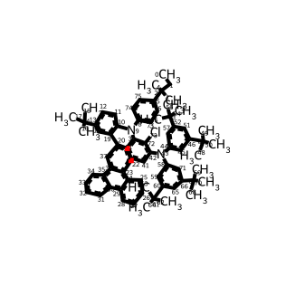 CCC(C)(C)c1ccc(N(c2ccc(C(C)(C)C)cc2-c2ccc3c4ccccc4c4ccccc4c3c2)c2cccc(N(c3cc(C(C)(C)C)cc(C(C)(C)C)c3)c3cc(C(C)(C)C)cc(C(C)(C)C)c3)c2Cl)cc1